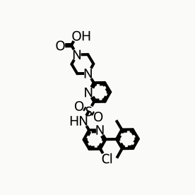 Cc1cccc(C)c1-c1nc(NS(=O)(=O)c2cccc(N3CCN(C(=O)O)CC3)n2)ccc1Cl